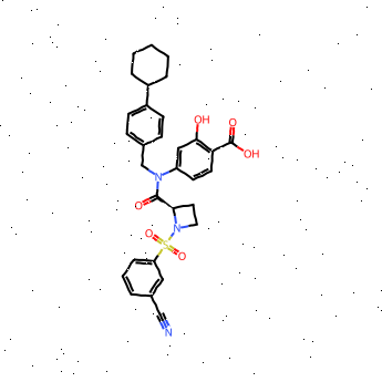 N#Cc1cccc(S(=O)(=O)N2CC[C@@H]2C(=O)N(Cc2ccc(C3CCCCC3)cc2)c2ccc(C(=O)O)c(O)c2)c1